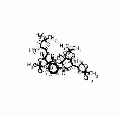 C[C@@H]1OC(C)(C)O[C@@H]1[C@@H]1O[C@H](O[C@@]2(C)[C@H]3OC(C)(C)O[C@H]3[C@@H]([C@H]3COC(C)(C)O3)OP2(=O)c2ccccc2)[C@@H]2OC(C)(C)O[C@H]12